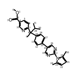 COC(=O)c1ccc(C(C)(c2ccc(-c3cnc(-n4c(C)ccc4C)nc3)cc2)C(C)C)nc1